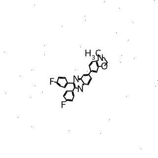 CN1CCOc2cc(-c3ccc4nc(-c5ccc(F)cc5)c(-c5ccc(F)cc5)nc4c3)ccc21